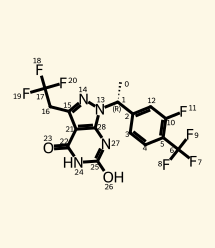 C[C@H](c1ccc(C(F)(F)F)c(F)c1)n1nc(CC(F)(F)F)c2c(=O)[nH]c(O)nc21